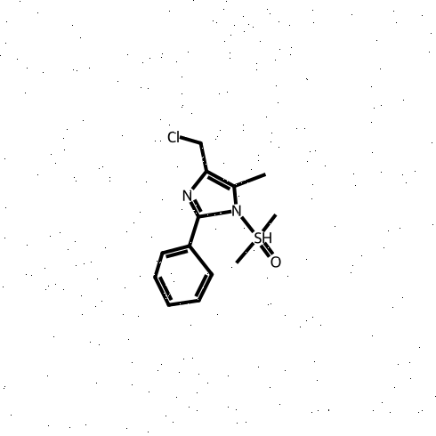 Cc1c(CCl)nc(-c2ccccc2)n1[SH](C)(C)=O